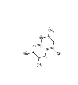 Cc1cc(O)c(CC(C)CC(C)(C)C)c(=O)[nH]1